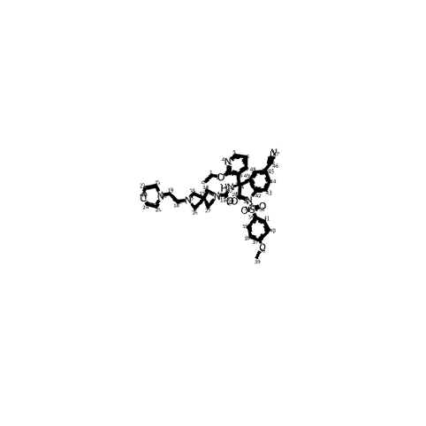 CCOc1ncccc1[C@@]1(NC(=O)N2CC3(CN(CCN4CCOCC4)C3)C2)C(=O)N(S(=O)(=O)c2ccc(OC)cc2)c2ccc(C#N)cc21